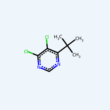 CC(C)(C)c1ncnc(Cl)c1Cl